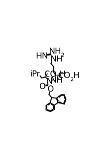 CC(C)C[C@@H](C(=O)O)N(N[C@@H](CCCNC(=N)N)C(=O)O)C(=O)OCC1c2ccccc2-c2ccccc21